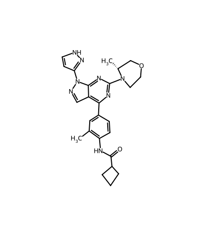 Cc1cc(-c2nc(N3CCOC[C@H]3C)nc3c2cnn3-c2cc[nH]n2)ccc1NC(=O)C1CCC1